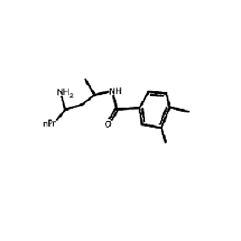 CCCC(N)CC(C)NC(=O)c1ccc(C)c(C)c1